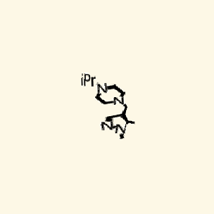 Cc1c(CN2CCN(C(C)C)CC2)cnn1C